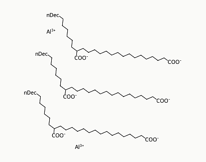 CCCCCCCCCCCCCCCCC(CCCCCCCCCCCCCCCC(=O)[O-])C(=O)[O-].CCCCCCCCCCCCCCCCC(CCCCCCCCCCCCCCCC(=O)[O-])C(=O)[O-].CCCCCCCCCCCCCCCCC(CCCCCCCCCCCCCCCC(=O)[O-])C(=O)[O-].[Al+3].[Al+3]